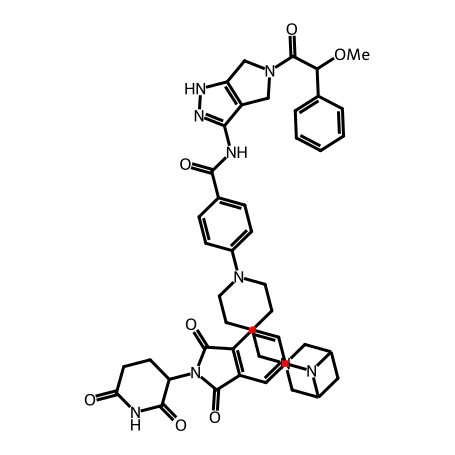 COC(C(=O)N1Cc2[nH]nc(NC(=O)c3ccc(N4CCC(CN5CC6CC(C5)N6c5ccc6c(c5)C(=O)N(C5CCC(=O)NC5=O)C6=O)CC4)cc3)c2C1)c1ccccc1